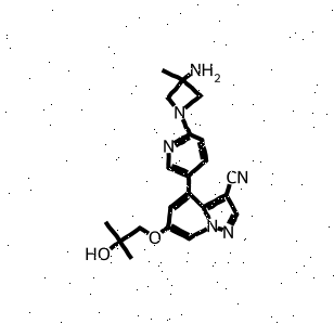 CC(C)(O)COc1cc(-c2ccc(N3CC(C)(N)C3)nc2)c2c(C#N)cnn2c1